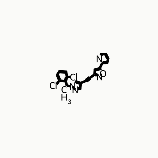 CC(c1c(Cl)cccc1Cl)n1cc(C#Cc2cc(-c3ccccn3)on2)cn1